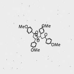 COc1ccc(C(=O)CC(c2ccc(OC)cc2)S(=O)(=O)C(CC(=O)c2ccc(OC)cc2)c2ccc(OC)cc2)cc1